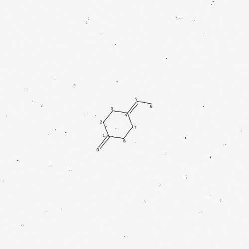 C=C1CCC(=CC)CC1